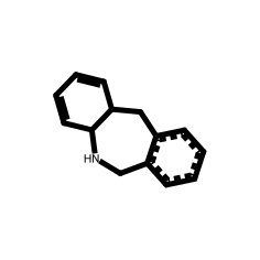 C1=CC2Cc3ccccc3CNC2C=C1